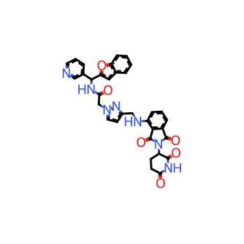 O=C1CCC(N2C(=O)c3cccc(NCc4ccn(CC(=O)NC(c5cccnc5)c5cc6ccccc6o5)n4)c3C2=O)C(=O)N1